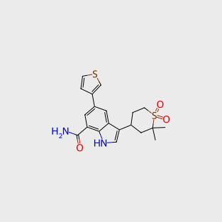 CC1(C)CC(c2c[nH]c3c(C(N)=O)cc(-c4ccsc4)cc23)CCS1(=O)=O